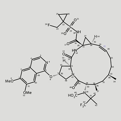 COc1cc2ccnc(O[C@@H]3C[C@H]4C(=O)N[C@]5(C(=O)NS(=O)(=O)C6(CF)CC6)C[C@H]5/C=C\CC[C@@H](C)C[C@@H](C)[C@H](N(C(=O)O)C(C)(C)C(F)(F)F)C(=O)N4C3)c2cc1OC